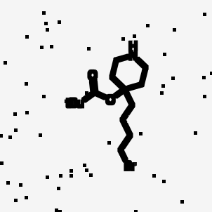 CC(C)(C)C(=O)OC1(CCCCBr)CCNCC1